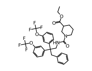 CCOC(=O)C1CCCN(C(=O)NCC(Cc2ccccc2)(c2cccc(OC(F)(F)F)c2)c2cccc(OC(F)(F)F)c2)C1